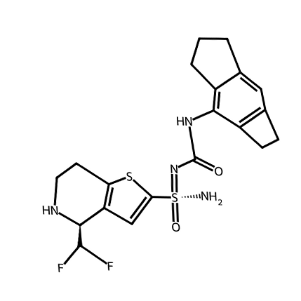 N[S@@](=O)(=NC(=O)Nc1c2c(cc3c1CC3)CCC2)c1cc2c(s1)CCN[C@@H]2C(F)F